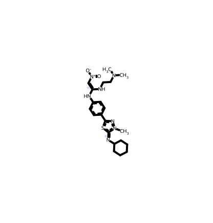 CN(C)CCN/C(=C\[N+](=O)[O-])Nc1ccc(-c2nn(C)/c(=N\C3CCCCC3)s2)cc1